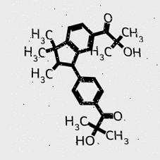 CC1C(c2ccc(C(=O)C(C)(C)O)cc2)c2cc(C(=O)C(C)(C)O)ccc2C1(C)C